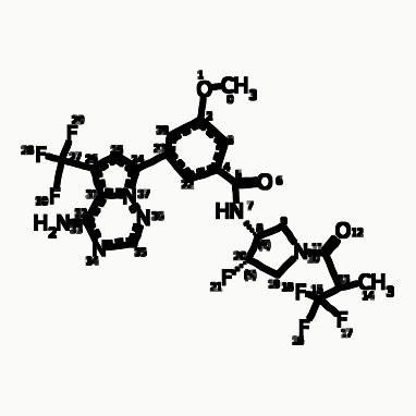 COc1cc(C(=O)N[C@@H]2CN(C(=O)C(C)C(F)(F)F)C[C@@H]2F)cc(-c2cc(C(F)(F)F)c3c(N)ncnn23)c1